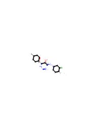 Cc1ccc(-c2ncnc(Nc3ccc(C#N)c(Cl)c3)c2O)cc1